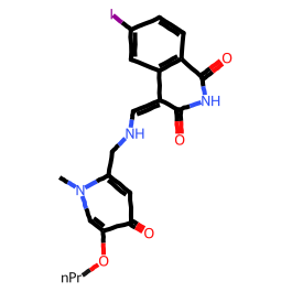 CCCOc1cn(C)c(CNC=C2C(=O)NC(=O)c3ccc(I)cc32)cc1=O